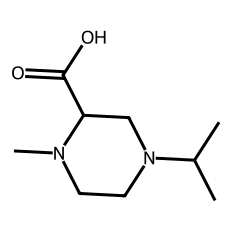 CC(C)N1CCN(C)C(C(=O)O)C1